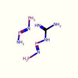 N=C(N)NP=NP.NP=NP